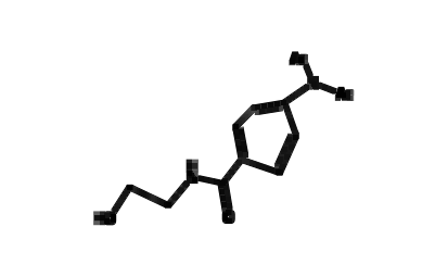 CC(=O)N(C(C)=O)c1ccc(C(=O)NCCO)cc1